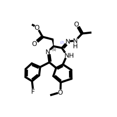 COC(=O)C[C@@H]1N=C(c2cccc(F)c2)c2cc(OC)ccc2N/C1=N\NC(C)=O